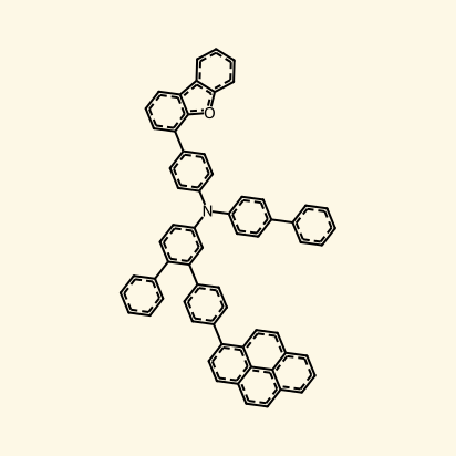 c1ccc(-c2ccc(N(c3ccc(-c4cccc5c4oc4ccccc45)cc3)c3ccc(-c4ccccc4)c(-c4ccc(-c5ccc6ccc7cccc8ccc5c6c78)cc4)c3)cc2)cc1